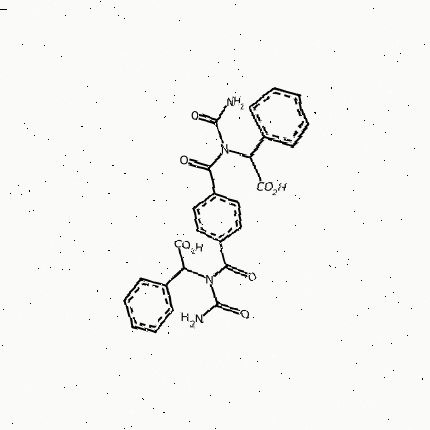 NC(=O)N(C(=O)c1ccc(C(=O)N(C(N)=O)C(C(=O)O)c2ccccc2)cc1)C(C(=O)O)c1ccccc1